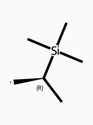 [CH2][C@H](C)[Si](C)(C)C